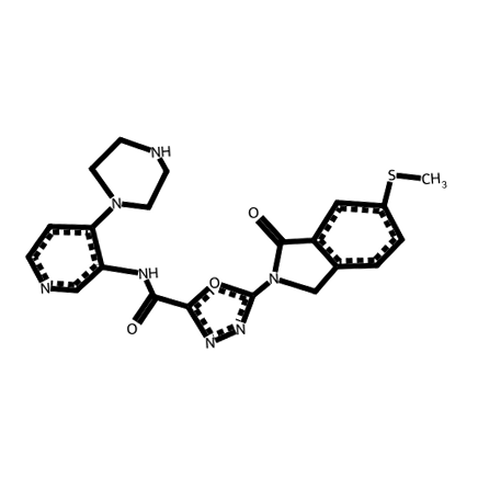 CSc1ccc2c(c1)C(=O)N(c1nnc(C(=O)Nc3cnccc3N3CCNCC3)o1)C2